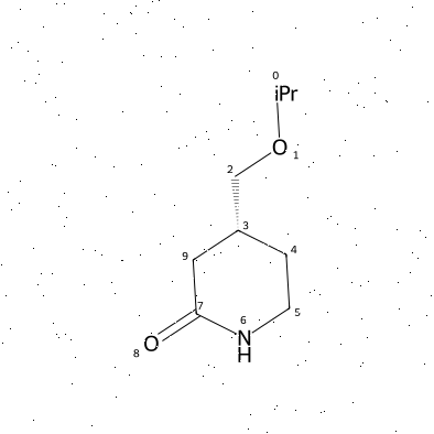 CC(C)OC[C@@H]1CCNC(=O)C1